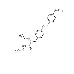 CCO[C@@H](Cc1ccc(OCc2ccc(SC)cc2)cc1)C(=O)NOC